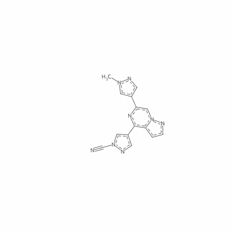 Cn1cc(-c2cn3nccc3c(-c3cnn(C#N)c3)n2)cn1